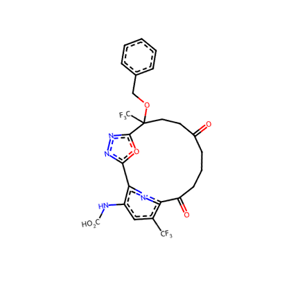 O=C1CCCC(=O)c2nc(c(NC(=O)O)cc2C(F)(F)F)-c2nnc(o2)C(OCc2ccccc2)(C(F)(F)F)CC1